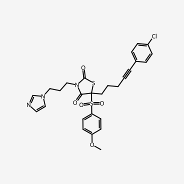 COc1ccc(S(=O)(=O)C2(CCCC#Cc3ccc(Cl)cc3)SC(=O)N(CCCn3ccnc3)C2=O)cc1